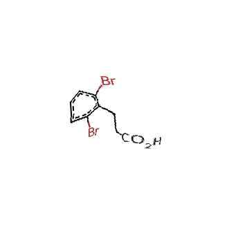 O=C(O)CCc1c(Br)cccc1Br